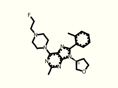 Cc1nc(N2CCN(CCF)CC2)c2nc(-c3ccccc3C)n([C@H]3CCOC3)c2n1